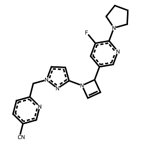 N#Cc1ccc(Cn2ccc(N3C=CC3c3cnc(N4CCCC4)c(F)c3)n2)nc1